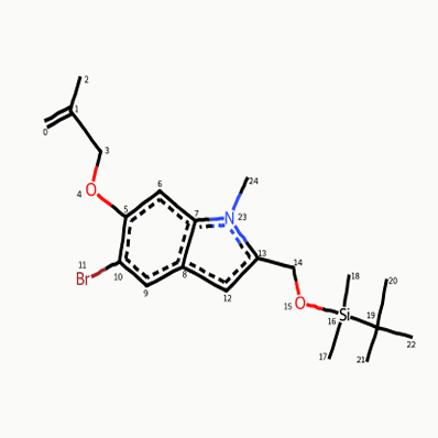 C=C(C)COc1cc2c(cc1Br)cc(CO[Si](C)(C)C(C)(C)C)n2C